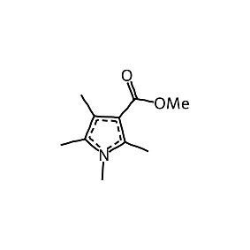 COC(=O)c1c(C)c(C)n(C)c1C